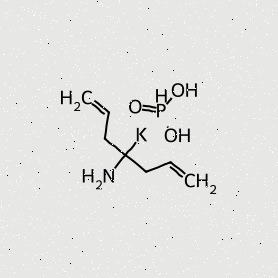 C=CC[C](N)([K])CC=C.O=[PH](O)O